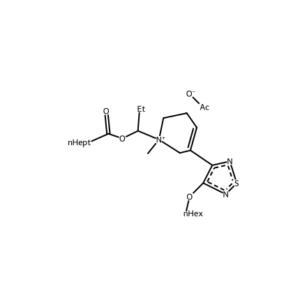 CC(=O)[O-].CCCCCCCC(=O)OC(CC)[N+]1(C)CCC=C(c2nsnc2OCCCCCC)C1